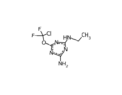 CCNc1nc(N)nc(OC(F)(F)Cl)n1